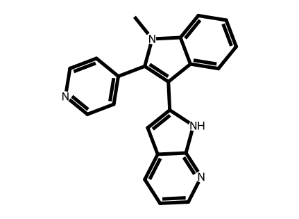 Cn1c(-c2ccncc2)c(-c2cc3cccnc3[nH]2)c2ccccc21